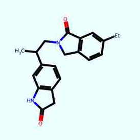 CCc1ccc2c(c1)C(=O)N(CC(C)c1ccc3c(c1)NC(=O)C3)C2